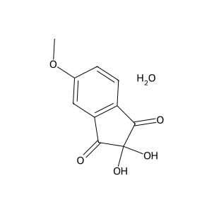 COc1ccc2c(c1)C(=O)C(O)(O)C2=O.O